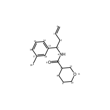 C=CCC(NC(=O)C1CCCOC1)c1cccc(I)c1